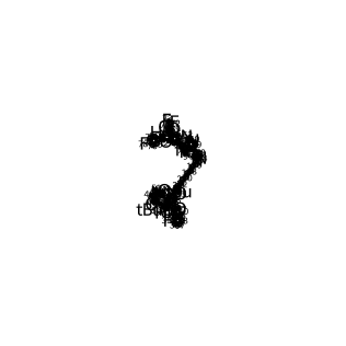 CC(Oc1cc(-c2nn(C)c3c(-c4cnn(CCCCCCCCC(=O)NC5C[C@@H](C(=O)Nc6c(F)cccc6F)N(C(=O)C(NC(=O)C(C)N(C)C(=O)OC(C)(C)C)C(C)(C)C)C5)c4)cnc(N)c23)ccc1NS(=O)(=O)C(F)F)c1ccc(F)cc1